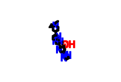 CCN1CC=C(c2ccn3cc(-c4ncc(-n5nccn5)cc4O)nc3n2)CC12CC2